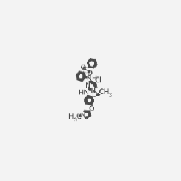 CCOc1cc(O[C@H]2CCN(C)C2)ccc1Nc1ncc(Cl)c(Nc2ccccc2S(=O)(=O)C2CCCCC2)n1